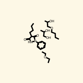 CC(O)CO.CCCCC1C(=O)NN(c2ccccc2)C1=O.CCCCOCC(C)O.CCOCC